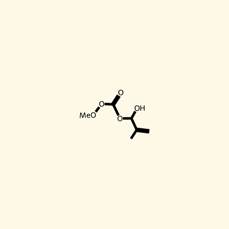 C=C(C)C(O)OC(=O)OOC